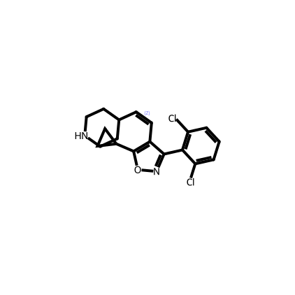 Clc1cccc(Cl)c1-c1noc(C2CC2)c1/C=C\C1CCNCC1